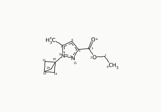 CCOC(=O)c1cc(C)n(C23CC(C2)C3)n1